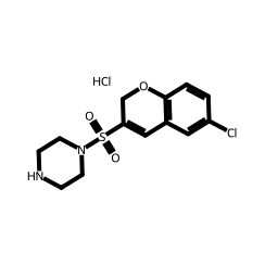 Cl.O=S(=O)(C1=Cc2cc(Cl)ccc2OC1)N1CCNCC1